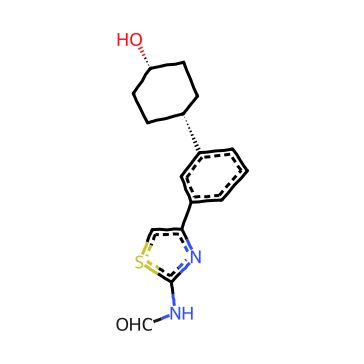 O=CNc1nc(-c2cccc([C@H]3CC[C@@H](O)CC3)c2)cs1